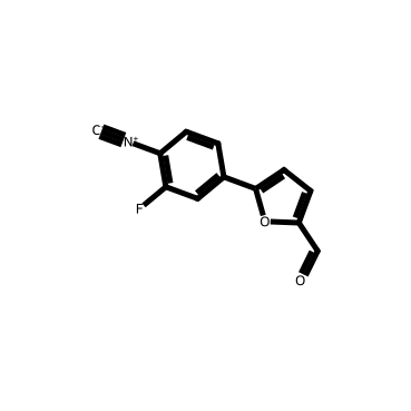 [C-]#[N+]c1ccc(-c2ccc(C=O)o2)cc1F